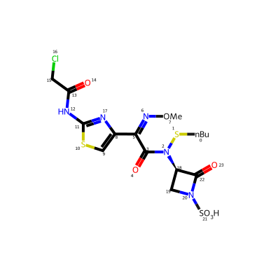 CCCCSN(C(=O)C(=NOC)c1csc(NC(=O)CCl)n1)[C@@H]1CN(S(=O)(=O)O)C1=O